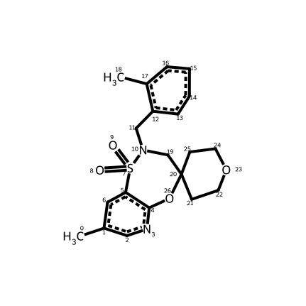 Cc1cnc2c(c1)S(=O)(=O)N(Cc1ccccc1C)CC1(CCOCC1)O2